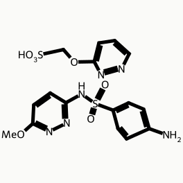 COc1ccc(NS(=O)(=O)c2ccc(N)cc2)nn1.O=S(=O)(O)COc1cccnn1